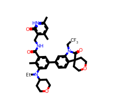 CCN(c1cc(-c2ccc3c(c2)N(CC(F)(F)F)C(=O)C32CCOCC2)cc(C(=O)NCc2c(C)cc(C)[nH]c2=O)c1C)C1CCOCC1